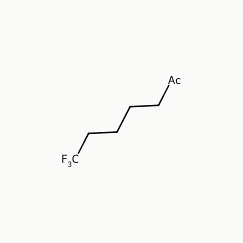 CC(=O)CCCCC(F)(F)F